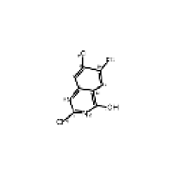 Oc1nc(Cl)nc2cc(Cl)c(F)cc12